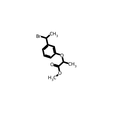 COC(=O)C(C)Oc1cccc(C(C)Br)c1